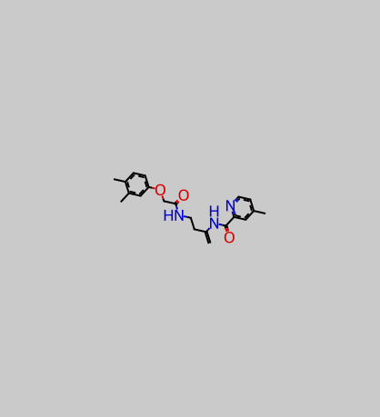 C=C(CCNC(=O)COc1ccc(C)c(C)c1)NC(=O)c1cc(C)ccn1